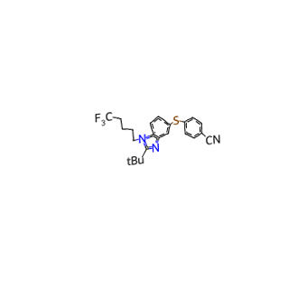 CC(C)(C)c1nc2cc(Sc3ccc(C#N)cc3)ccc2n1CCCCC(F)(F)F